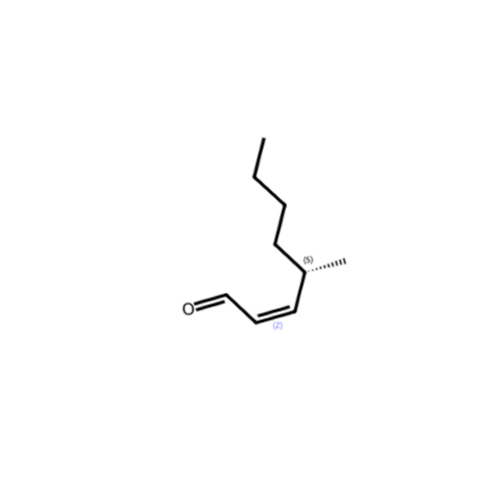 CCCC[C@H](C)/C=C\C=O